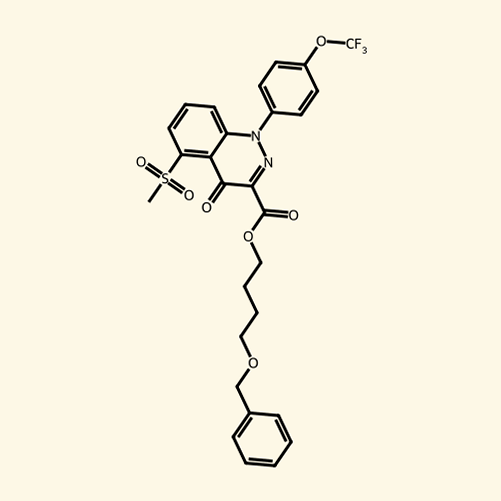 CS(=O)(=O)c1cccc2c1c(=O)c(C(=O)OCCCCOCc1ccccc1)nn2-c1ccc(OC(F)(F)F)cc1